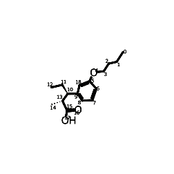 CCCCOc1cccc([C@H](CC)[C@@H](C)C(=O)O)c1